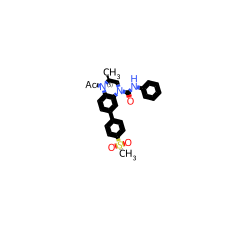 CC(=O)N1c2ccc(-c3ccc(S(C)(=O)=O)cc3)cc2N(C(=O)Nc2ccccc2)C[C@@H]1C